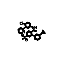 C=C(Nc1ccc(Cl)c(-c2ccccn2)c1)c1ccc(S(C)(=O)=O)cc1-c1cccc(C2CC2)c1